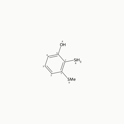 CSc1cccc(O)c1[SiH3]